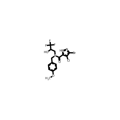 COc1ccc(CN(CC(O)C(F)(F)F)C(=O)c2[nH]nc(Br)c2Cl)cc1